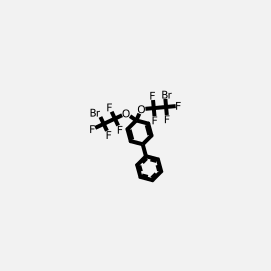 FC(F)(Br)C(F)(F)OC1(OC(F)(F)C(F)(F)Br)C=CC(c2ccccc2)C=C1